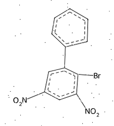 O=[N+]([O-])c1cc(-c2ccccc2)c(Br)c([N+](=O)[O-])c1